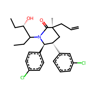 C=CC[C@@]1(C)C[C@H](c2cccc(Cl)c2)[C@@H](c2ccc(Cl)cc2)N(C(CC)[C@@H](O)CC)C1=O